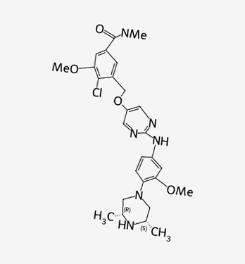 CNC(=O)c1cc(COc2cnc(Nc3ccc(N4C[C@@H](C)N[C@@H](C)C4)c(OC)c3)nc2)c(Cl)c(OC)c1